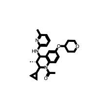 CC(=O)N1c2ccc(OC3CCOCC3)cc2C(Nc2cccc(C)n2)[C@@H](C)C1C1CC1